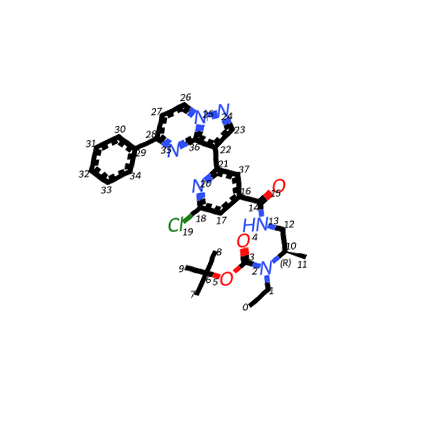 CCN(C(=O)OC(C)(C)C)[C@H](C)CNC(=O)c1cc(Cl)nc(-c2cnn3ccc(-c4ccccc4)nc23)c1